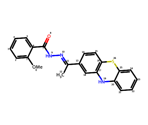 COc1ccccc1C(=O)N/N=C(\C)c1ccc2c(c1)Nc1ccccc1S2